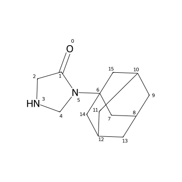 O=C1CNCN1C12CC3CC(CC(C3)C1)C2